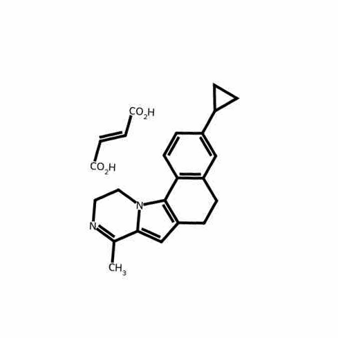 CC1=NCCn2c1cc1c2-c2ccc(C3CC3)cc2CC1.O=C(O)C=CC(=O)O